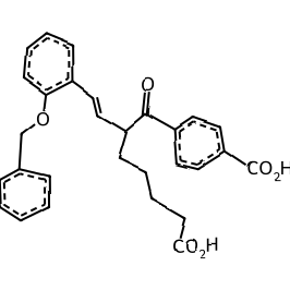 O=C(O)CCCCC(/C=C/c1ccccc1OCc1ccccc1)C(=O)c1ccc(C(=O)O)cc1